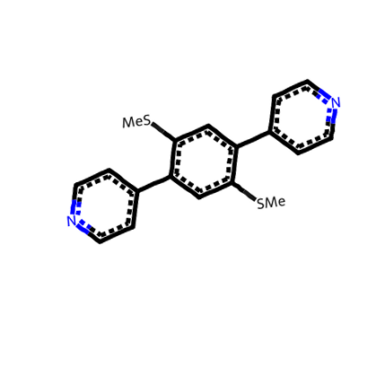 CSc1cc(-c2ccncc2)c(SC)cc1-c1ccncc1